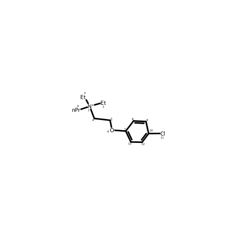 CCC[N+](CC)(CC)C[CH]Oc1ccc(Cl)cc1